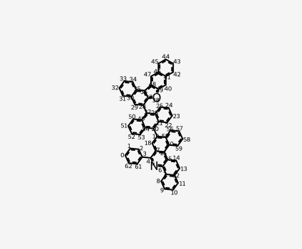 c1ccc(-c2nc3c4ccccc4ccc3c3c2cc(-c2c4ccccc4c(-c4cc5ccccc5c5c4oc4cc6ccccc6cc45)c4ccccc24)c2ccccc23)cc1